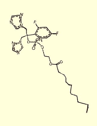 CCCCCCCCCC(=O)OCCOP(=O)(O)OC(Cn1cncn1)(Cn1cncn1)c1ccc(F)cc1F